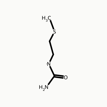 CSCC[N]C(N)=O